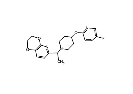 CC(c1ccc2c(n1)OCCO2)N1CCC(Oc2ccc(F)cn2)CC1